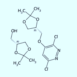 CC1(C)OC[C@@H](CO)O1.CC1(C)OC[C@@H](COc2cc(Cl)nnc2Cl)O1